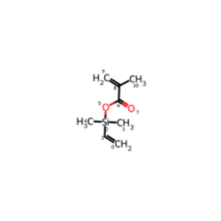 C=C[Si](C)(C)OC(=O)C(=C)C